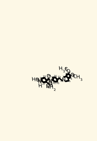 COc1cc2c(cc1OC)CN(CCc1ccc(NC(=O)c3ccc(NO)cc3C(N)=O)cc1)CC2